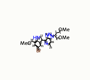 COCCC(COC)n1nnc2c(C3CNc4c(COC)cc(Br)cc43)nc(C)cc21